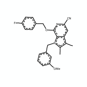 COc1cccc(Cn2c(C)c(C)c3cc(C#N)nc(OCc4ccc(F)cc4)c32)c1